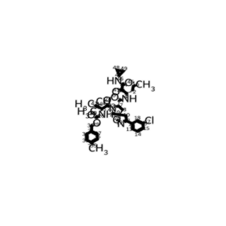 CCC[C@H](NC(=O)[C@@H]1C[C@]2(CC(c3cccc(Cl)c3)=NO2)CN1C(=O)[C@@H](NC(=O)OCc1ccc(C)cc1)C(C)(C)C)C(=O)C(=O)NC1CC1